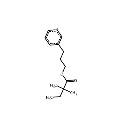 CCC(C)(C)C(=O)OCCCc1cccnc1